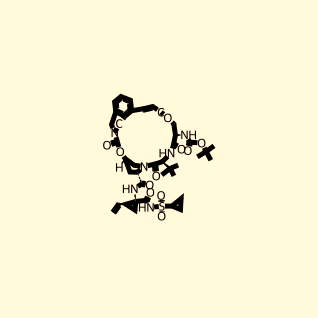 C=C[C@@H]1C[C@]1(NC(=O)[C@@H]1C[C@@H]2CN1C(=O)[C@H](C(C)(C)C)NC(=O)[C@@H](NC(=O)OC(C)(C)C)COC/C=C/c1cccc3c1CN(C3)C(=O)O2)C(=O)NS(=O)(=O)C1CC1